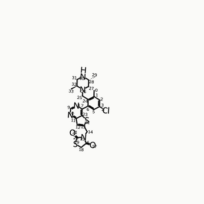 Cc1cc(Cl)cc(-c2ncnc3cc(CN4C(=O)CSC4=O)sc23)c1CN1C[C@@H](C)NC[C@@H]1C